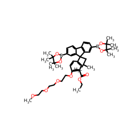 CCOC(=O)c1cc(C2(CC(C)C)c3cc(B4OC(C)(C)C(C)(C)O4)ccc3-c3ccc(B4OC(C)(C)C(C)(C)O4)cc32)ccc1OCCOCCOCCOC